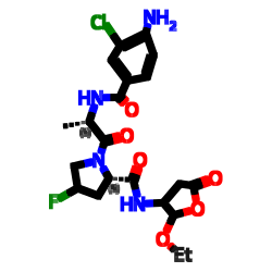 CCOC1OC(=O)CC1NC(=O)[C@@H]1CC(F)CN1C(=O)[C@H](C)NC(=O)c1ccc(N)c(Cl)c1